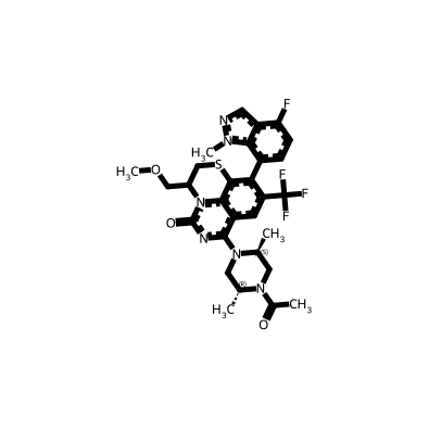 COCC1CSc2c(-c3ccc(F)c4cnn(C)c34)c(C(F)(F)F)cc3c(N4C[C@@H](C)N(C(C)=O)C[C@@H]4C)nc(=O)n1c23